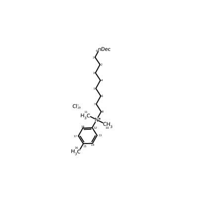 CCCCCCCCCCCCCCCCCC[N+](C)(C)c1ccc(C)cc1.[Cl-]